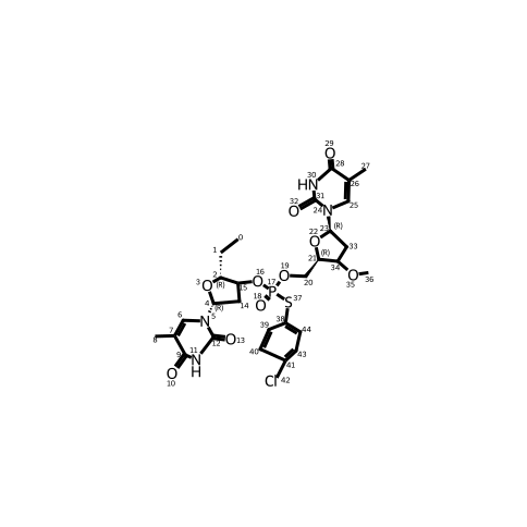 CC[C@H]1O[C@@H](n2cc(C)c(=O)[nH]c2=O)CC1OP(=O)(OC[C@H]1O[C@@H](n2cc(C)c(=O)[nH]c2=O)CC1OC)Sc1ccc(Cl)cc1